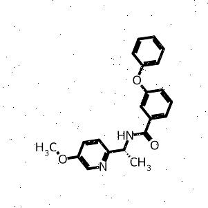 COc1ccc([C@@H](C)NC(=O)c2cccc(Oc3ccccc3)c2)nc1